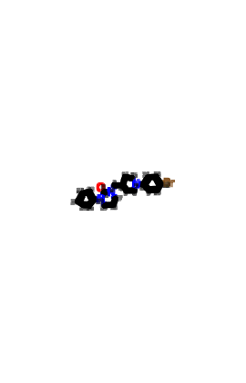 O=C1N(CC2CCN(c3ccc(Br)cc3)CC2)CCCN1c1ccccc1